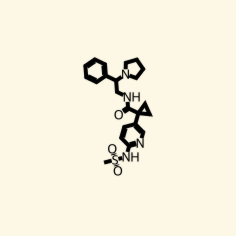 CS(=O)(=O)Nc1ccc(C2(C(=O)NCC(c3ccccc3)N3CCCC3)CC2)cn1